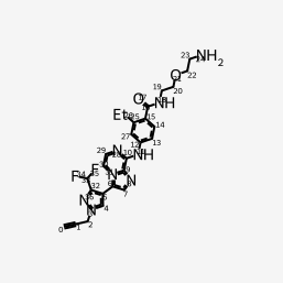 C#CCn1cc(-c2cnc3c(Nc4ccc(C(=O)NCCOCCN)c(CC)c4)nccn23)c(C(F)F)n1